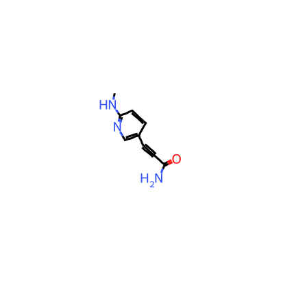 CNc1ccc(C#CC(N)=O)cn1